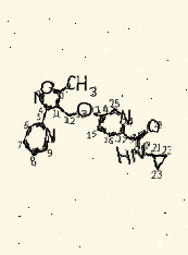 Cc1onc(-c2ccccn2)c1COc1ccc(C(=O)NC2CC2)nc1